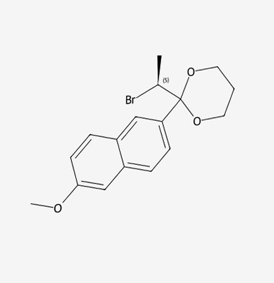 COc1ccc2cc(C3([C@H](C)Br)OCCCO3)ccc2c1